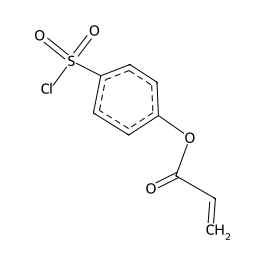 C=CC(=O)Oc1ccc(S(=O)(=O)Cl)cc1